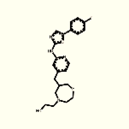 OCCN1CCOCC(Cc2ccnc(Nc3ncc(-c4ccc(F)cc4)s3)c2)C1